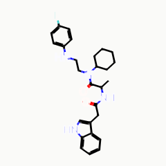 CC(NC(=O)Cc1c[nH]c2ccccc12)C(=O)N(CCNc1ccc(F)cc1)C1CCCCC1